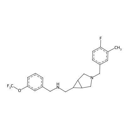 Cc1cc(CN2CC3C(CNCc4cccc(OC(F)(F)F)c4)C3C2)ccc1F